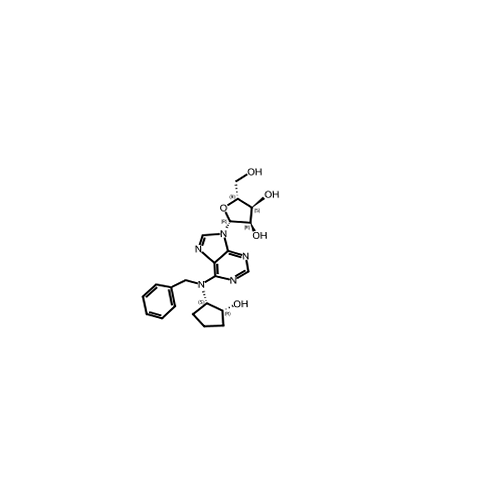 OC[C@H]1O[C@@H](n2cnc3c(N(Cc4ccccc4)[C@H]4CCC[C@H]4O)ncnc32)[C@H](O)[C@@H]1O